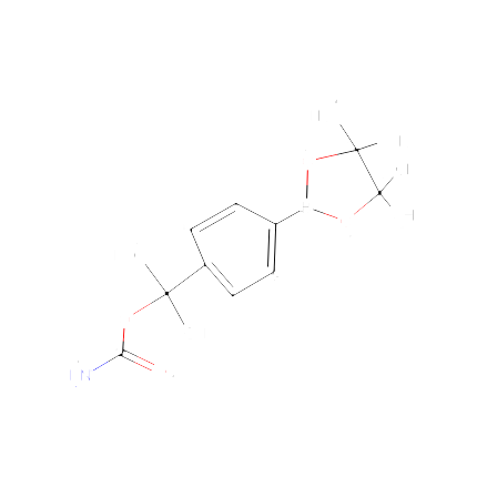 CC(C)(OC(N)=O)c1ccc(B2OC(C)(C)C(C)(C)O2)cc1